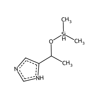 CC(O[SiH](C)C)c1cnc[nH]1